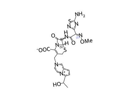 CO/N=C(\C(=O)N[C@@H]1C(=O)N2C(C(=O)[O-])=C(Cn3cc[n+]4c(C(C)O)ccc-4c3)CS[C@@H]12)c1nsc(N)n1